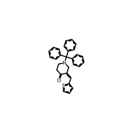 O=C1CCN(C(c2ccccc2)(c2ccccc2)c2ccccc2)CC1=Cc1cccs1